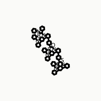 c1ccc(-n2c3c(c4ccccc42)-n2c4cccc(-c5ccc6c7c(oc6c5)-n5c6cccc(-c8ccc9c%10c(sc9c8)-n8c9ccccc9c9cc%11c%12ccccc%12n%12c%11c(c98)B%10c8ccccc8-%12)c6c6cc8c9ccccc9n9c8c(c65)B7c5ccccc5-9)c4c4cc5c6ccccc6n6c5c(c42)B3c2ccccc2-6)cc1